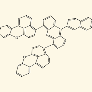 c1ccc2c(c1)Oc1ccc(-c3cccc4c(-c5ccc6ccccc6c5)c5cccc(-c6ccc7c8c(cccc68)-c6ccccc6O7)c5cc34)c3cccc-2c13